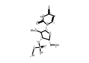 COC1[C@@H](OP(=O)(S)OC(C)C)[C@@H](CO)O[C@H]1n1ccc(=O)[nH]c1=O